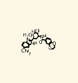 Cc1ccc2nc(C3CC(NC(=O)c4ccc5c(c4)OCCO5)CCN3C)[nH]c2c1.Cl